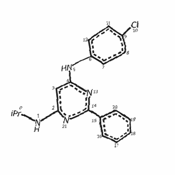 CC(C)Nc1cc(Nc2ccc(Cl)cc2)nc(-c2ccccc2)n1